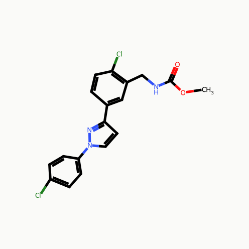 COC(=O)NCc1cc(-c2ccn(-c3ccc(Cl)cc3)n2)ccc1Cl